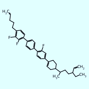 C=CCCCc1ccc(-c2ccc(-c3ccc(C4=CCC(C(C)CCC(C=C)CC)CC4)cc3F)cc2)c(F)c1F